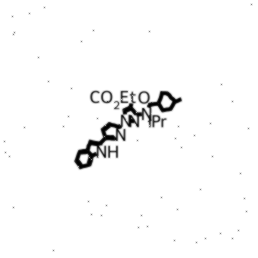 CCOC(=O)c1cn(-c2ccc(-c3cc4ccccc4[nH]3)cn2)nc1N(C(=O)C1CCC(C)CC1)C(C)C